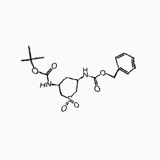 CC(C)(C)OC(=O)N[C@H]1C[C@@H](NC(=O)OCc2ccccc2)CS(=O)(=O)C1